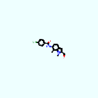 Cc1c(NC(=O)c2ccc(Br)cc2)ccc2cc(C=O)n(C)c12